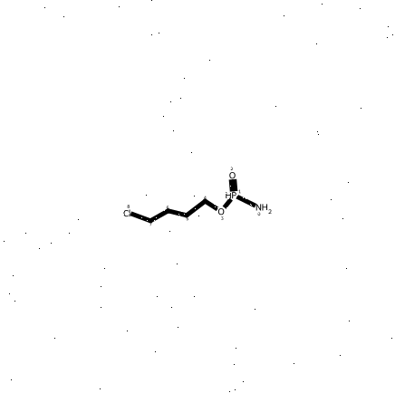 N[PH](=O)OCCCCCl